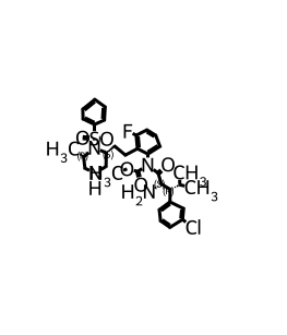 COC(=O)N(C(=O)[C@@H](N)[C@@H](c1cccc(Cl)c1)C(C)C)c1cccc(F)c1CC[C@H]1CNC[C@@H](C)N1S(=O)(=O)c1ccccc1